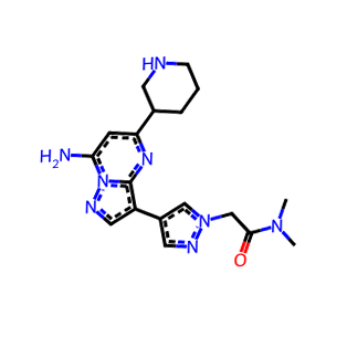 CN(C)C(=O)Cn1cc(-c2cnn3c(N)cc(C4CCCNC4)nc23)cn1